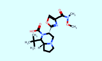 CON(C)C(=O)c1coc([C@@H]2CN3CCC[C@@H]3C(C(C)(C)C)N2C(=O)O)n1